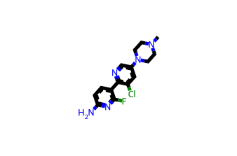 CN1CCN(c2cnc(-c3ccc(N)nc3F)c(Cl)c2)CC1